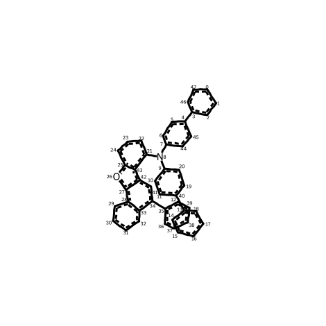 c1ccc(-c2ccc(N(c3ccc(-c4ccccc4)cc3)c3cccc4oc5c6ccccc6c(-c6ccccc6)cc5c34)cc2)cc1